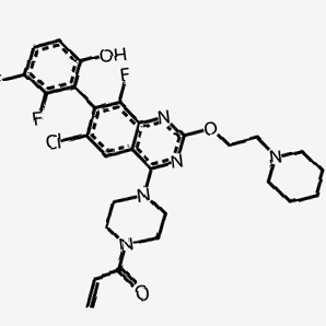 C=CC(=O)N1CCN(c2nc(OCCN3CCCCC3)nc3c(F)c(-c4c(O)ccc(F)c4F)c(Cl)cc23)CC1